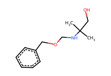 CC(C)(CO)NCOCc1ccccc1